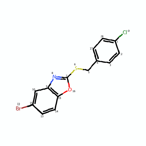 Clc1ccc(CSc2nc3cc(Br)ccc3o2)cc1